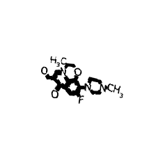 C[C@H]1COc2c(N3CCN(C)CC3)c(F)cc3c(=O)c(C=O)cn1c23